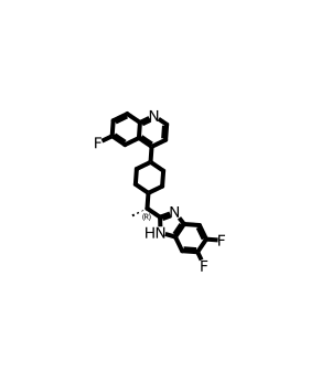 C[C@@H](c1nc2cc(F)c(F)cc2[nH]1)C1CCC(c2ccnc3ccc(F)cc23)CC1